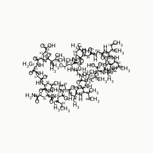 CC[C@H](C)[C@H](NC(=O)CNC(=O)[C@H](CC(C)C)NC(=O)[C@@H](NC(=O)[C@H](C)NC(=O)[C@@H]1CCCN1C(=O)[C@@H](NC(=O)[C@H](CCC(N)=O)NC(=O)[C@H](CC(C)C)NC(=O)CNC(=O)[C@H](C)NC(=O)[C@H](CCC(=O)O)NC(=O)[C@@H](N)C(C)C)[C@@H](C)CC)[C@@H](C)CC)C(=O)N[C@@H](CC(C)C)C(=O)NCC(=O)NCC(=O)N[C@H](C(=O)N[C@@H](CC(C)C)C(=O)N[C@@H](C)C(=O)N[C@@H](CC(C)C)C(=O)O)[C@@H](C)CC